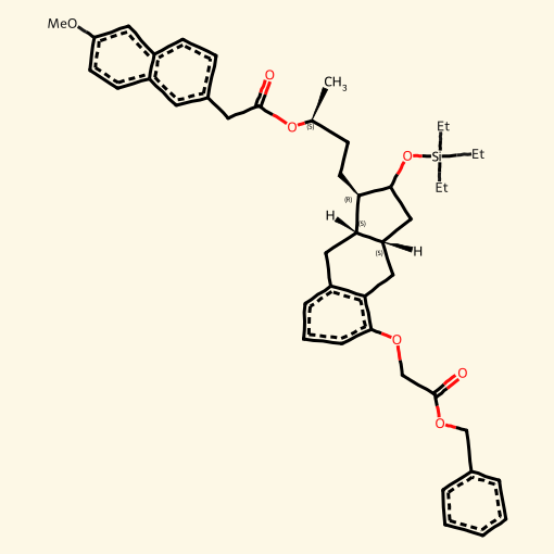 CC[Si](CC)(CC)OC1C[C@@H]2Cc3c(cccc3OCC(=O)OCc3ccccc3)C[C@@H]2[C@H]1CC[C@H](C)OC(=O)Cc1ccc2cc(OC)ccc2c1